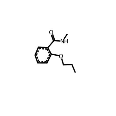 CCCOc1ccccc1C(=O)NC